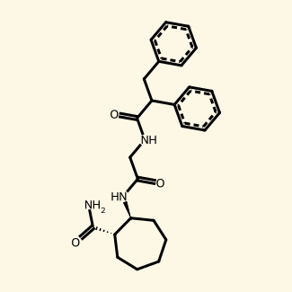 NC(=O)[C@H]1CCCCC[C@@H]1NC(=O)CNC(=O)C(Cc1ccccc1)c1ccccc1